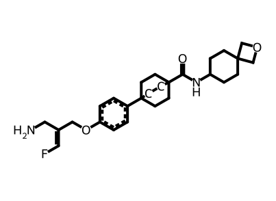 NCC(=CF)COc1ccc(C23CCC(C(=O)NC4CCC5(CC4)COC5)(CC2)CC3)cc1